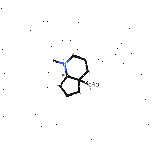 CN1CCCC2(C=O)CCCC12